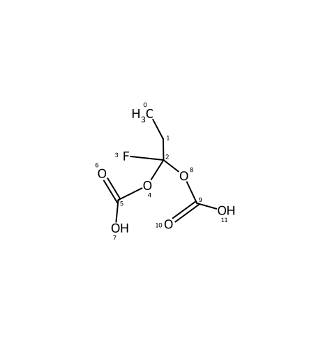 CCC(F)(OC(=O)O)OC(=O)O